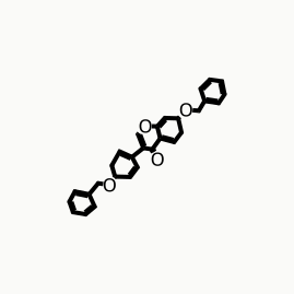 O=c1c(C2=CCC(OCc3ccccc3)C=C2)coc2c1=CCC(OCc1ccccc1)C=2